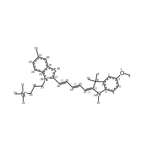 COc1ccc2c(c1)C(C)(C)\C(=C/C=C/C=C/c1sc3cc(C)ccc3[n+]1CCC[N+](C)(C)C)N2C